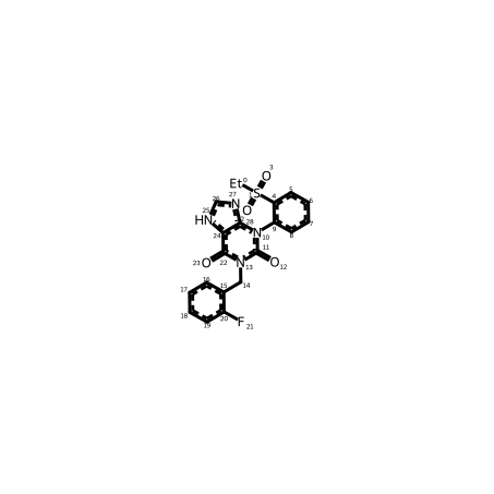 CCS(=O)(=O)c1ccccc1-n1c(=O)n(Cc2ccccc2F)c(=O)c2[nH]cnc21